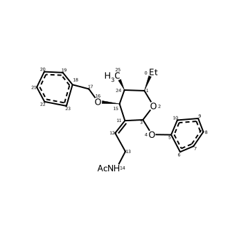 CC[C@H]1OC(Oc2ccccc2)/C(=C\CNC(C)=O)[C@@H](OCc2ccccc2)[C@H]1C